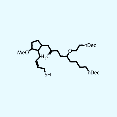 C=C(CCC(CCCCCCCCCCCCCC)OCCCCCCCCCCCC)CC1CCC(OC)C1C/C=C\CS